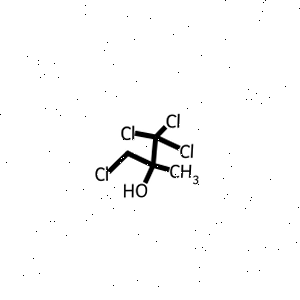 CC(O)(CCl)C(Cl)(Cl)Cl